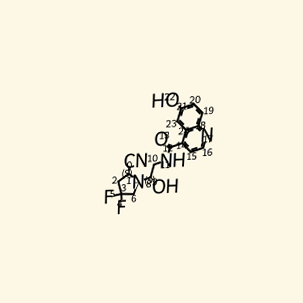 N#C[C@@H]1CC(F)(F)CN1[C@@H](O)CNC(=O)c1ccnc2ccc(O)cc12